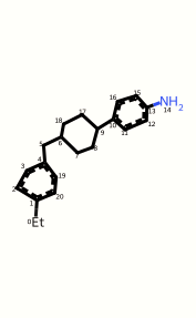 CCc1ccc(CC2CCC(c3ccc(N)cc3)CC2)cc1